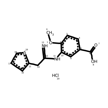 COc1ccc(C(=O)O)cc1NC(=N)Cc1cccs1.Cl